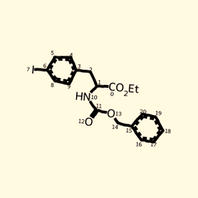 CCOC(=O)C(Cc1ccc(I)cc1)NC(=O)OCc1ccccc1